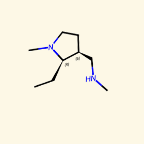 CC[C@@H]1[C@H](CNC)CCN1C